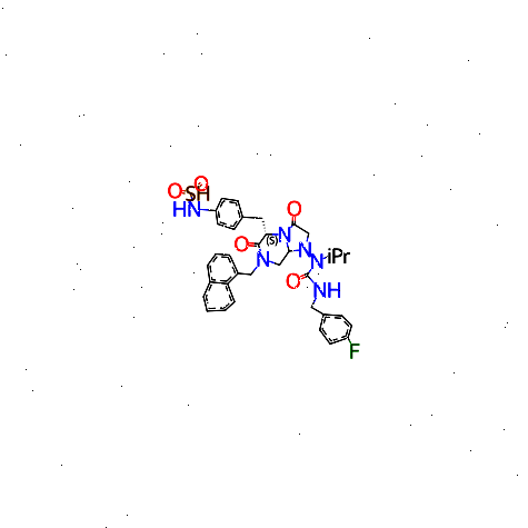 CC(C)N(C(=O)NCc1ccc(F)cc1)N1CC(=O)N2C1CN(Cc1cccc3ccccc13)C(=O)[C@@H]2Cc1ccc(N[SH](=O)=O)cc1